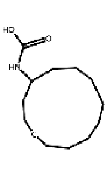 O=C(O)NC1CCCCCCCCCCC1